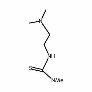 CNC(=S)NCCN(C)C